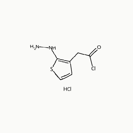 Cl.NNc1sccc1CC(=O)Cl